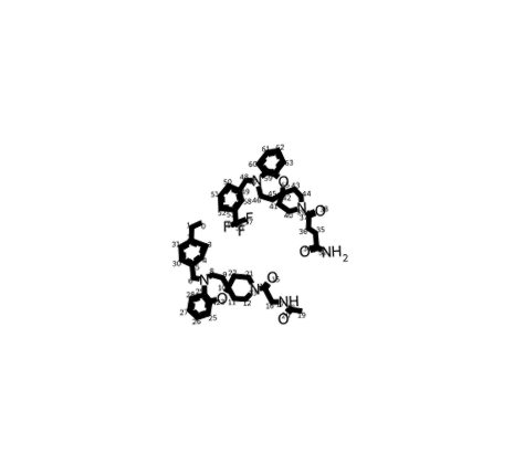 CCc1ccc(CN2CCC3(CCN(C(=O)CNC(C)=O)CC3)Oc3ccccc32)cc1.NC(=O)CCC(=O)N1CCC2(CC1)CCN(Cc1cccc(C(F)(F)F)c1)c1ccccc1O2